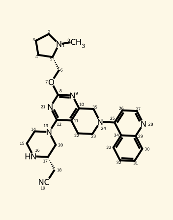 CN1CCC[C@H]1COc1nc2c(c(N3CCN[C@@H](CC#N)C3)n1)CCN(c1ccnc3ccccc13)C2